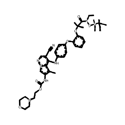 CCN(O[Si](C)(C)C(C)(C)C)C(=O)C(C)(C)Oc1ccccc1Oc1ccc(Nc2c(C#N)cnn3cc(NC(=O)OCCN4CCOCC4)c(C)c23)cc1